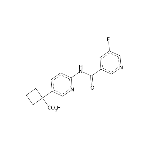 O=C(Nc1ccc(C2(C(=O)O)CCC2)cn1)c1cncc(F)c1